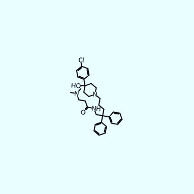 CN(C)CCC(=O)NCC(CCCN1CCC(O)(c2ccc(Cl)cc2)CC1)(c1ccccc1)c1ccccc1